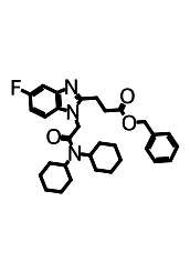 O=C(CCc1nc2cc(F)ccc2n1CC(=O)N(C1CCCCC1)C1CCCCC1)OCc1ccccc1